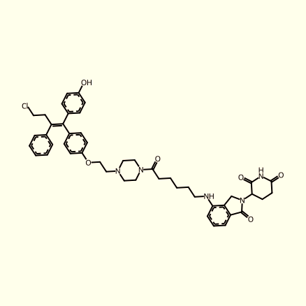 O=C1CCC(N2Cc3c(NCCCCCC(=O)N4CCN(CCOc5ccc(C(=C(CCCl)c6ccccc6)c6ccc(O)cc6)cc5)CC4)cccc3C2=O)C(=O)N1